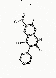 Cc1cc2[nH]c(=O)c(-c3ccccc3)c(O)c2cc1[N+](=O)[O-]